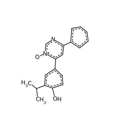 CC(C)c1cc(-c2cc(-c3ccccc3)nc[n+]2[O-])ccc1O